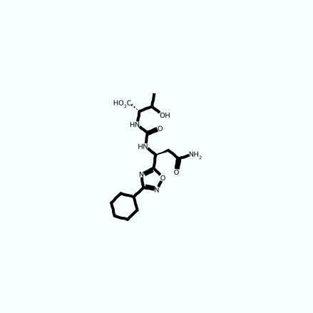 CC(O)[C@H](NC(=O)N[C@@H](CC(N)=O)c1nc(C2CCCCC2)no1)C(=O)O